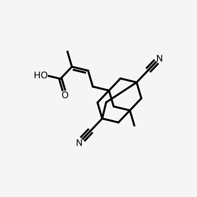 CC(=CCC12CC3(C)CC(C#N)(CC(C#N)(C3)C1)C2)C(=O)O